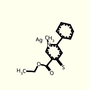 CCOC(=O)c1cn(C)c(-c2ccccc2)cc1=S.[Ag]